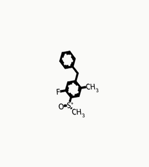 Cc1cc([S+](C)[O-])c(F)cc1Cc1ccccc1